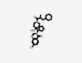 CC(CC1CCCCC1)C(=O)N1CCC(O)(Cn2cnc3cc(Cl)ccc3c2=O)C2(CCCC2)C1